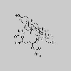 C[C@@H]1CC[C@@]2(OC1)O[C@H]1C[C@H]3[C@@H]4CC=C5C[C@@H](O)CC[C@]5(C)[C@H]4CC[C@]3(C)[C@H]1[C@@H]2C.N=C(CCC(=O)OC(N)=O)OC(N)=O